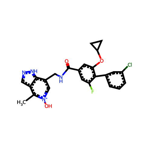 Cc1c2cn[nH]c2c(CNC(=O)c2cc(F)c(-c3cccc(Cl)c3)c(OC3CC3)c2)c[n+]1O